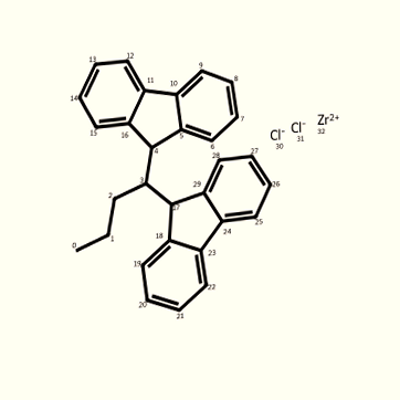 CCCC(C1c2ccccc2-c2ccccc21)C1c2ccccc2-c2ccccc21.[Cl-].[Cl-].[Zr+2]